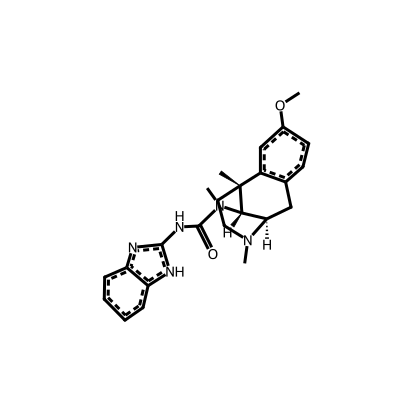 COc1ccc2c(c1)[C@@]1(C)CCN(C)[C@H](C2)[C@@H]1N(C)C(=O)Nc1nc2ccccc2[nH]1